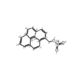 O=[SH](=O)O[CH]c1ccc2ccc3cccc4ccc1c2c34